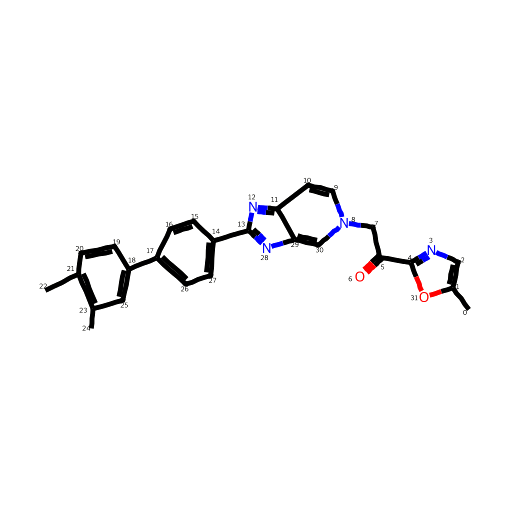 Cc1cnc(C(=O)Cn2ccc3nc(-c4ccc(-c5ccc(C)c(C)c5)cc4)nc-3c2)o1